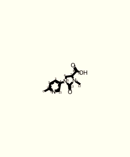 Cc1ccc(N2CC(C(=O)O)N(C)C2=O)cn1